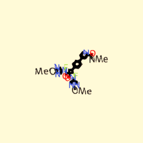 CNC(=O)c1cc(-c2ccc(C3CC(C(=O)N(F)c4cnc(OC)nc4)(C(=O)N(F)c4cnc(OC)nc4)C3)cc2)ccn1